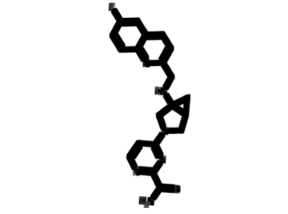 NC(=O)c1nccc(N2CC3CC3(NCc3ccc4cc(F)ccc4n3)C2)n1